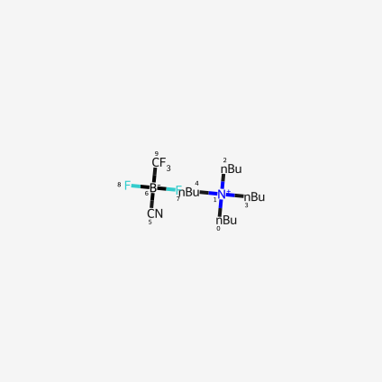 CCCC[N+](CCCC)(CCCC)CCCC.N#C[B-](F)(F)C(F)(F)F